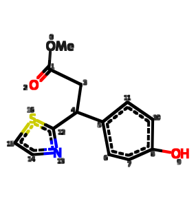 COC(=O)CC(c1ccc(O)cc1)c1nccs1